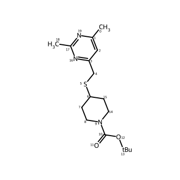 Cc1cc(CSC2CCN(C(=O)OC(C)(C)C)CC2)nc(C)n1